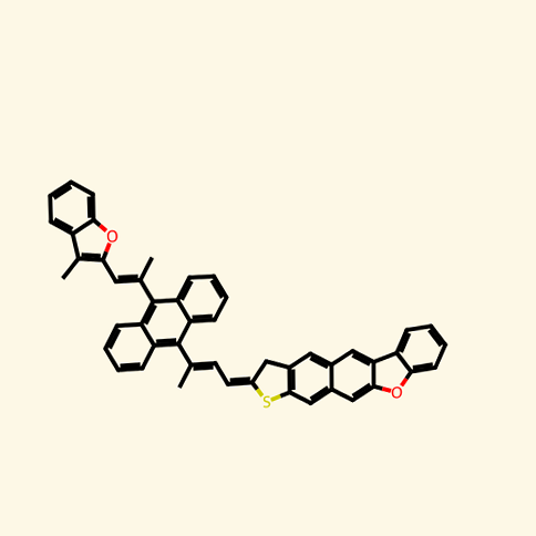 C/C(=C\C=C1/Cc2cc3cc4c(cc3cc2S1)oc1ccccc14)c1c2ccccc2c(/C(C)=C/c2oc3ccccc3c2C)c2ccccc12